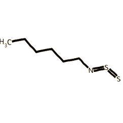 CCCCCCN=S=S